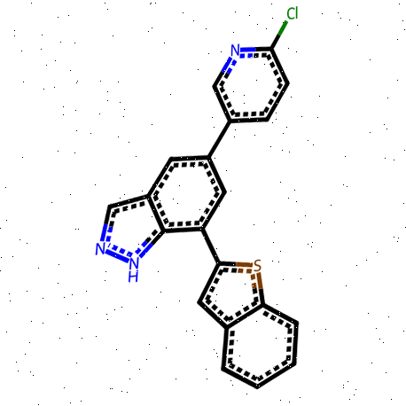 Clc1ccc(-c2cc(-c3cc4ccccc4s3)c3[nH]ncc3c2)cn1